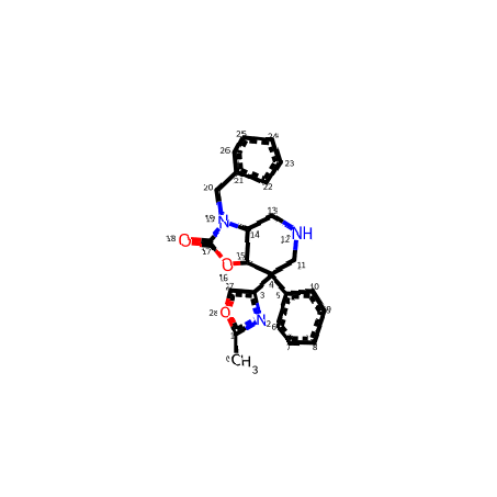 Cc1nc(C2(c3ccccc3)CNCC3C2OC(=O)N3Cc2ccccc2)co1